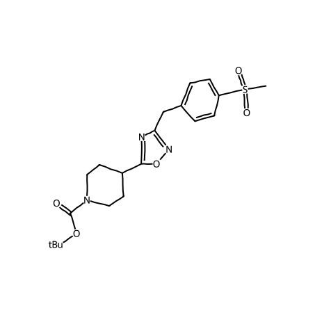 CC(C)(C)OC(=O)N1CCC(c2nc(Cc3ccc(S(C)(=O)=O)cc3)no2)CC1